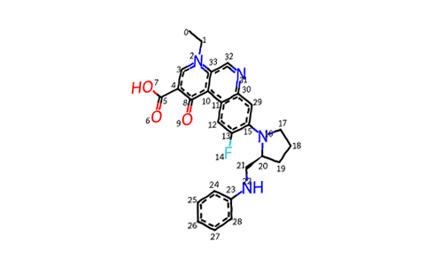 CCn1cc(C(=O)O)c(=O)c2c3cc(F)c(N4CCC[C@H]4CNc4ccccc4)cc3ncc21